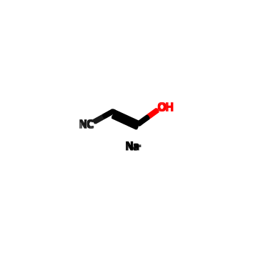 N#CC=CO.[Na]